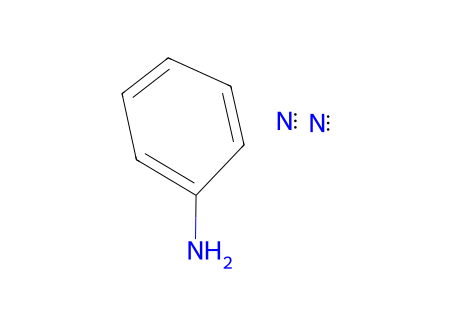 Nc1ccccc1.[N].[N]